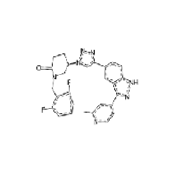 Cc1cc(-c2n[nH]c3ccc(-c4cn([C@@H]5CCC(=O)N(Cc6c(F)cccc6F)C5)nn4)cc23)ccn1